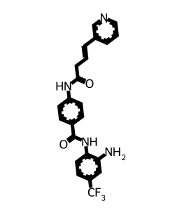 Nc1cc(C(F)(F)F)ccc1NC(=O)c1ccc(NC(=O)C/C=C/c2cccnc2)cc1